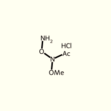 CON(ON)C(C)=O.Cl